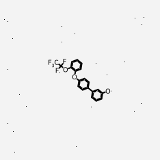 [O]c1cccc(-c2ccc(Oc3ccccc3OC(F)(F)C(F)(F)F)cc2)c1